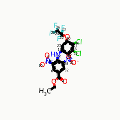 CCOC(=O)c1cc([N+](=O)[O-])c(Nc2cc(Cl)c(Cl)c(OC(F)(F)C(F)F)c2)c([N+](=O)[O-])c1